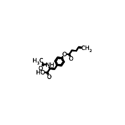 C=CCCC(=O)Oc1ccc(C=C(NC(C)=O)C(=O)O)cc1